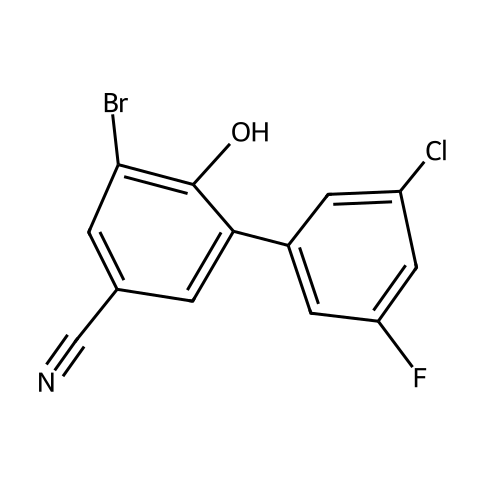 N#Cc1cc(Br)c(O)c(-c2cc(F)cc(Cl)c2)c1